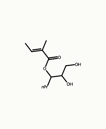 CC=C(C)C(=O)OC(CCC)C(O)CO